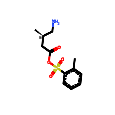 Cc1ccccc1S(=O)(=O)OC(=O)C[C@H](C)CN